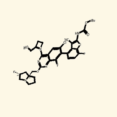 CC(C)(C)OC(=O)Nc1sc2c(F)ccc(-c3c(Cl)cc4c(N5CCC5CO)nc(OC[C@@]56CCCN5C[C@H](F)C6)nc4c3F)c2c1C#N